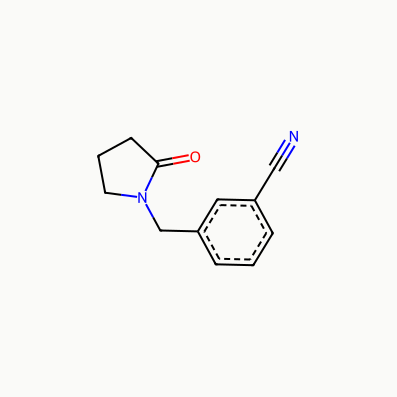 N#Cc1cccc(CN2CCCC2=O)c1